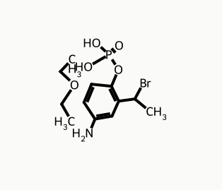 CC(Br)c1cc(N)ccc1OP(=O)(O)O.CCOCC